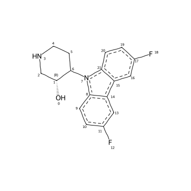 O[C@@H]1CNCCC1n1c2ccc(F)cc2c2cc(F)ccc21